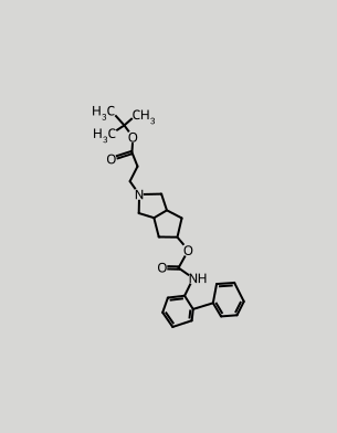 CC(C)(C)OC(=O)CCN1CC2CC(OC(=O)Nc3ccccc3-c3ccccc3)CC2C1